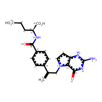 C=C(Cn1ccc2[nH]c(N)nc(=O)c21)c1ccc(C(=O)N[C@@H](CCC(=O)O)C(=O)O)cc1